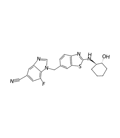 N#Cc1cc(F)c2c(c1)ncn2Cc1ccc2nc(N[C@@H]3CCCC[C@H]3O)sc2c1